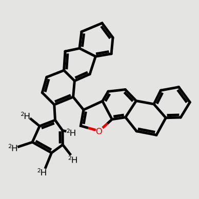 [2H]c1c([2H])c([2H])c(-c2ccc3cc4ccccc4cc3c2-c2coc3c2ccc2c4ccccc4ccc23)c([2H])c1[2H]